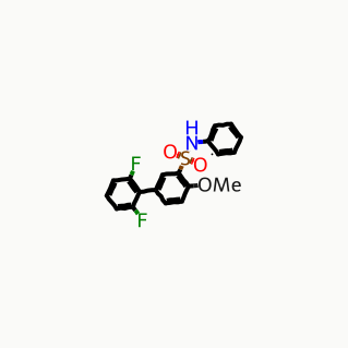 COc1ccc(-c2c(F)cccc2F)cc1S(=O)(=O)Nc1[c]cccc1